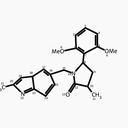 COc1cccc(OC)c1C1CC(C)C(=O)N1CC1=CC2C=C(C)N=C2C=C1